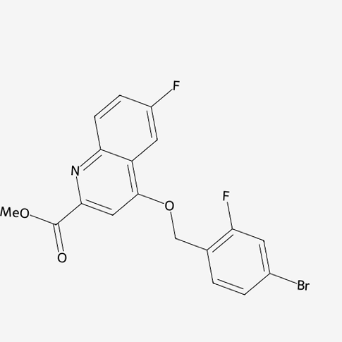 COC(=O)c1cc(OCc2ccc(Br)cc2F)c2cc(F)ccc2n1